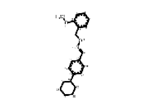 FC(F)(F)Oc1ccccc1CON=[C]c1ccc(C2CCCCC2)cc1